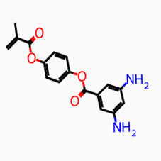 C=C(C)C(=O)Oc1ccc(OC(=O)c2cc(N)cc(N)c2)cc1